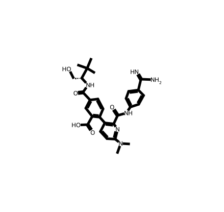 CN(C)c1ccc(-c2ccc(C(=O)N[C@H](CO)C(C)(C)C)cc2C(=O)O)c(C(=O)Nc2ccc(C(=N)N)cc2)n1